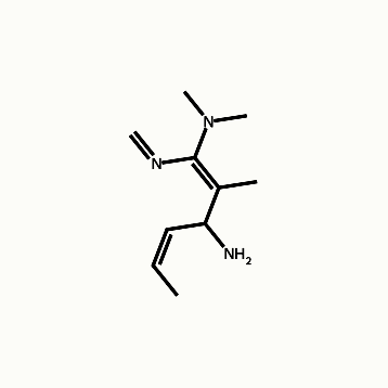 C=N/C(=C(/C)C(N)/C=C\C)N(C)C